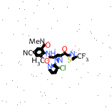 CNC(=O)c1cc(C#N)cc(C)c1NC(=O)c1cc(C(=O)c2nc(C(F)(F)F)cs2)nn1-c1ncccc1Cl